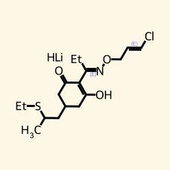 CCSC(C)CC1CC(=O)C(/C(CC)=N/OC/C=C/Cl)=C(O)C1.[LiH]